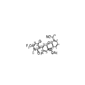 CC(=O)OOc1cccc(C(C)C#N)c1Oc1cc(-n2c(=O)cc(C(F)(F)F)n(C)c2=O)c(F)cc1Cl